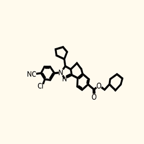 N#Cc1ccc(N2N=C3c4ccc(C(=O)OCC5CCCCC5)cc4CCC3C2C2CCCC2)cc1Cl